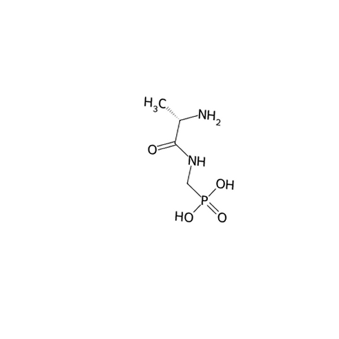 C[C@H](N)C(=O)NCP(=O)(O)O